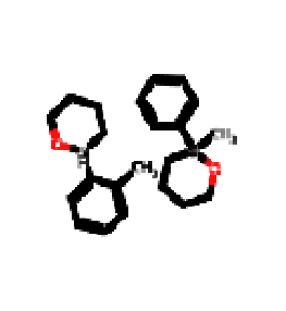 C[Si]1(c2ccccc2)CCCCO1.Cc1ccccc1[SiH]1CCCCO1